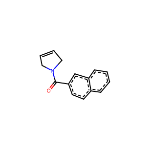 O=C(c1ccc2ccccc2c1)N1CC=CC1